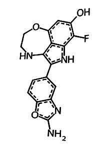 Nc1nc2cc(-c3[nH]c4c(F)c(O)cc5c4c3NCCO5)ccc2o1